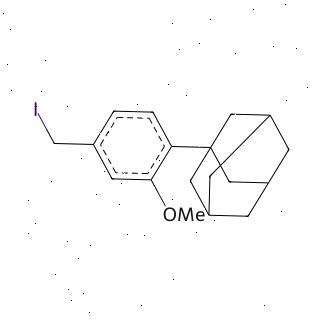 COc1cc(CI)ccc1C12CC3CC(CC(C3)C1)C2